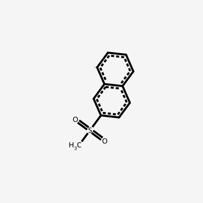 CS(=O)(=O)c1ccc2ccc[c]c2c1